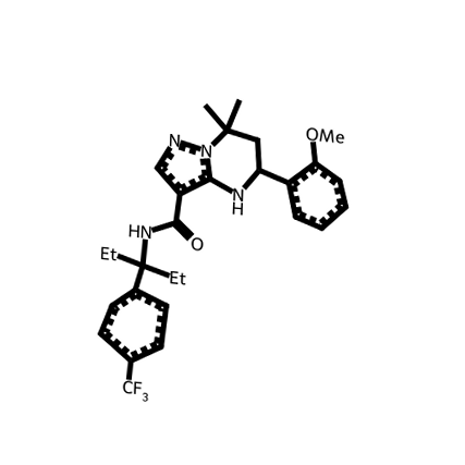 CCC(CC)(NC(=O)c1cnn2c1NC(c1ccccc1OC)CC2(C)C)c1ccc(C(F)(F)F)cc1